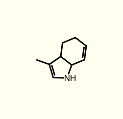 CC1=CNC2C=CCCC12